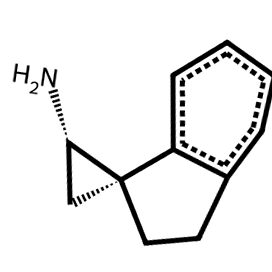 N[C@H]1C[C@]12CCc1ccccc12